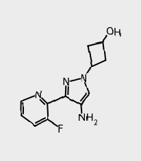 Nc1cn(C2CC(O)C2)nc1-c1ncccc1F